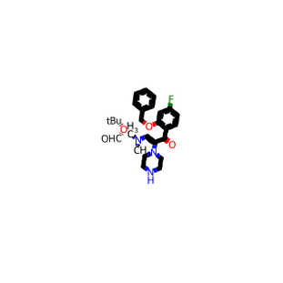 CC(C)(C)OC=O.CN(C)C=C(C(=O)c1ccc(F)cc1OCc1ccccc1)N1CCNCC1